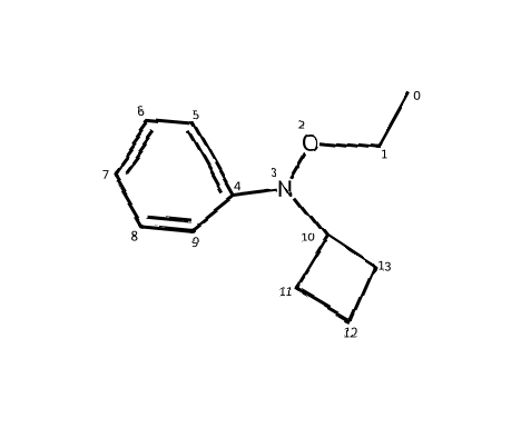 CCON(c1ccccc1)C1CCC1